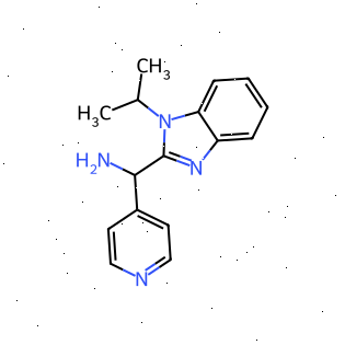 CC(C)n1c(C(N)c2ccncc2)nc2ccccc21